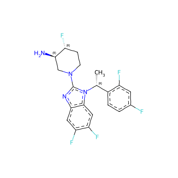 C[C@H](c1ccc(F)cc1F)n1c(N2CC[C@@H](F)[C@H](N)C2)nc2cc(F)c(F)cc21